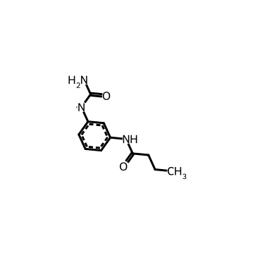 CCCC(=O)Nc1cccc([N]C(N)=O)c1